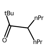 CCCC(CCC)C(=O)C(C)(C)C